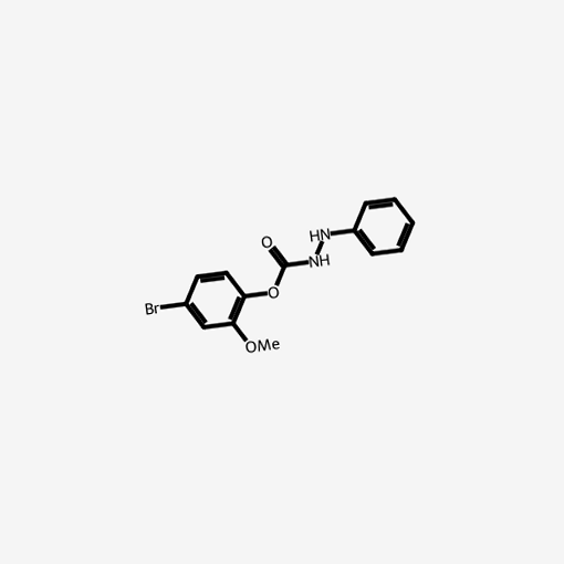 COc1cc(Br)ccc1OC(=O)NNc1ccccc1